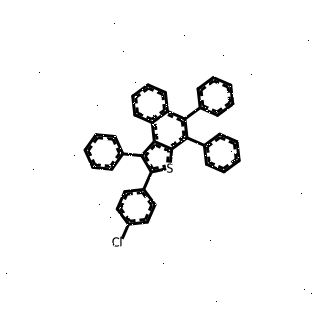 Clc1ccc(-c2sc3c(-c4ccccc4)c(-c4ccccc4)c4ccccc4c3c2-c2ccccc2)cc1